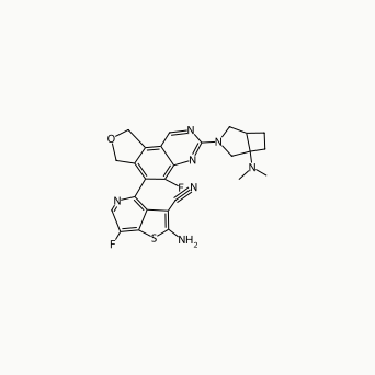 CN(C)C12CCC1CN(c1ncc3c4c(c(-c5ncc(F)c6sc(N)c(C#N)c56)c(F)c3n1)COC4)C2